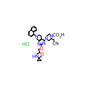 Cl.N#CCC1CN(c2nc(OCC3CNC4(CC4)CO3)nc3c2CCN(c2cccc4ccccc24)C3)CCN1C(=O)O